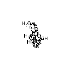 Cc1ccc(Oc2ccc(N3C(=O)Nc4ccnc5sc(C(=O)O)c3c45)c(C)n2)cn1